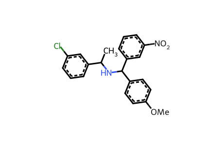 COc1ccc(C(NC(C)c2cccc(Cl)c2)c2cccc([N+](=O)[O-])c2)cc1